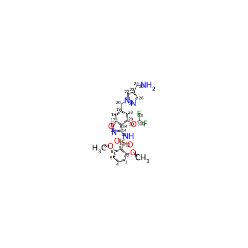 COc1cccc(OC)c1S(=O)(=O)Nc1noc2cc(Cn3cc(CN)cn3)cc(OC(F)F)c12